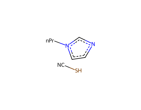 CCCn1ccnc1.N#CS